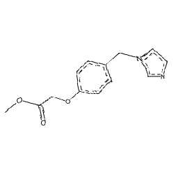 COC(=O)COc1ccc(Cn2ccnc2)cc1